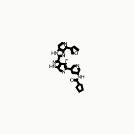 O=C(Nc1cncc(-c2ncc3[nH]nc(-c4nc5c(-c6ccoc6)nccc5[nH]4)c3c2F)c1)C1CCCC1